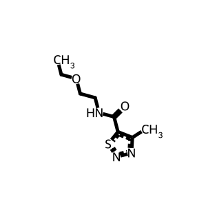 CCOCCNC(=O)c1snnc1C